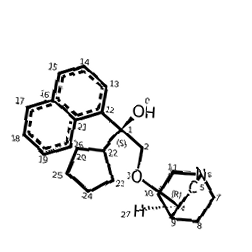 O[C@](CO[C@H]1CN2CCC1CC2)(c1cccc2ccccc12)C1CCCC1